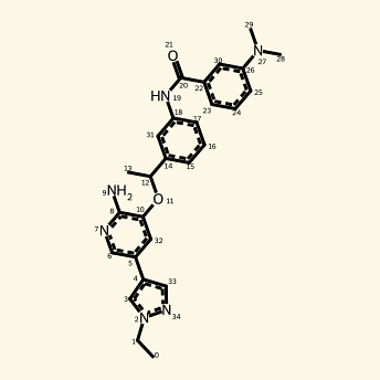 CCn1cc(-c2cnc(N)c(OC(C)c3cccc(NC(=O)c4cccc(N(C)C)c4)c3)c2)cn1